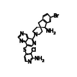 Nc1nccc(Sc2cnc(N3CCC4(CC3)Cc3ccc(Br)cc3[C@H]4N)c3cncnc23)c1Cl